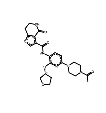 CC(=O)N1CCN(c2ccc(NC(=O)c3coc4c3C(=O)NCC4)c(O[C@H]3CCOC3)n2)CC1